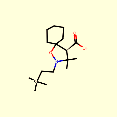 CC1(C)[C@H](C(=O)O)C2(CCCCC2)ON1C[CH2][Sn]([CH3])([CH3])[CH3]